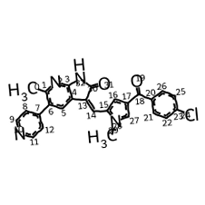 Cc1nc2c(cc1-c1ccncc1)C(=Cc1cc(C(=O)c3ccc(Cl)cc3)cn1C)C(=O)N2